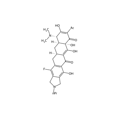 CCCN1Cc2c(O)c3c(c(F)c2C1)C[C@H]1C[C@H]2[C@H](N(C)C)C(O)=C(C(C)=O)C(=O)[C@@]2(O)C(O)=C1C3=O